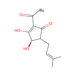 CCC(C)C(=O)C1=C(O)[C@H](O)C(CC=C(C)C)C1=O